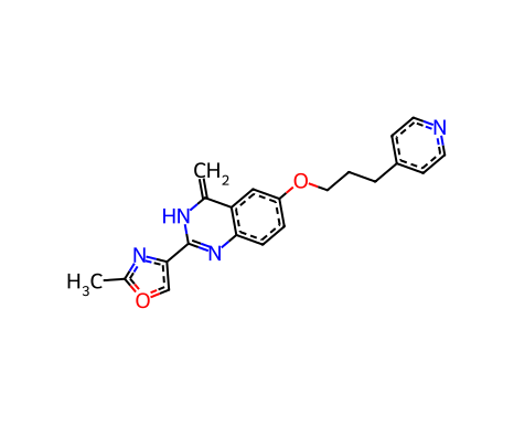 C=C1NC(c2coc(C)n2)=Nc2ccc(OCCCc3ccncc3)cc21